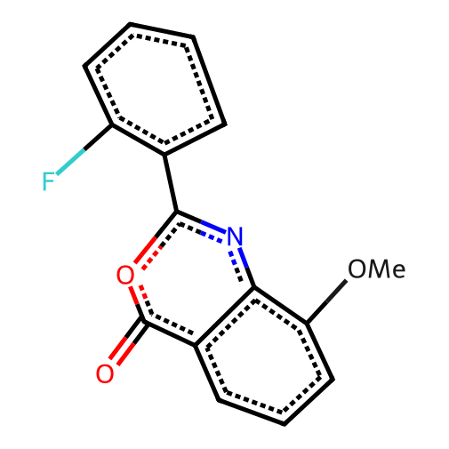 COc1cccc2c(=O)oc(-c3ccccc3F)nc12